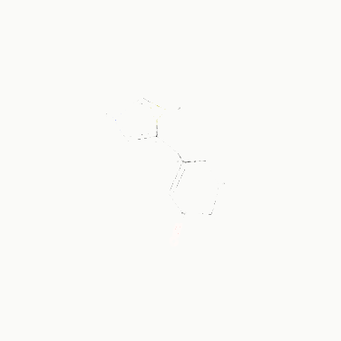 O=C1C=C(c2cncs2)CCC1